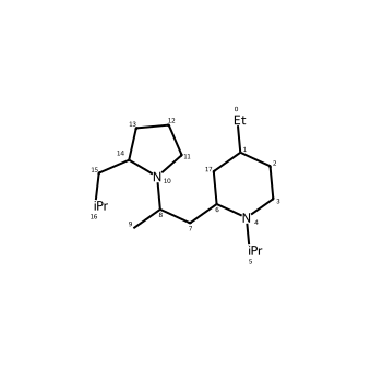 CCC1CCN(C(C)C)C(CC(C)N2CCCC2CC(C)C)C1